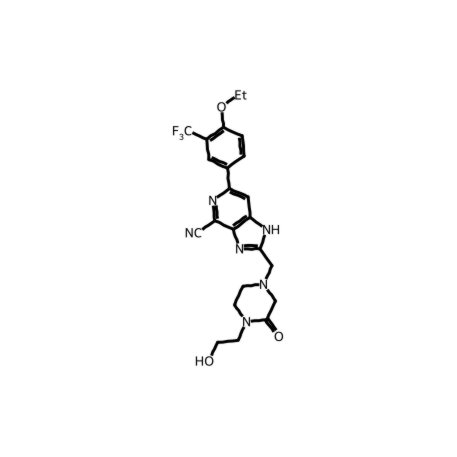 CCOc1ccc(-c2cc3[nH]c(CN4CCN(CCO)C(=O)C4)nc3c(C#N)n2)cc1C(F)(F)F